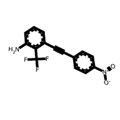 Nc1cccc(C#Cc2ccc([N+](=O)[O-])cc2)c1C(F)(F)F